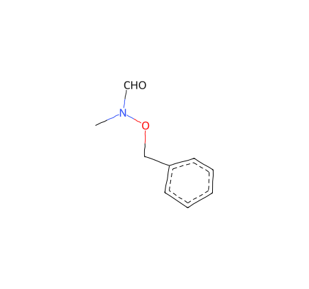 CN(C=O)OCc1ccccc1